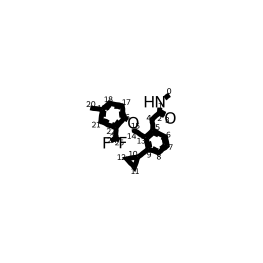 CNC(=O)Cc1cccc(C2CC2)c1COc1ccc(C)cc1C(F)F